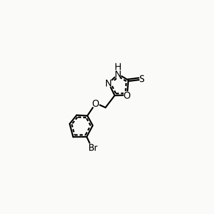 S=c1[nH]nc(COc2cccc(Br)c2)o1